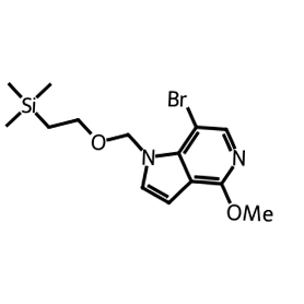 COc1ncc(Br)c2c1ccn2COCC[Si](C)(C)C